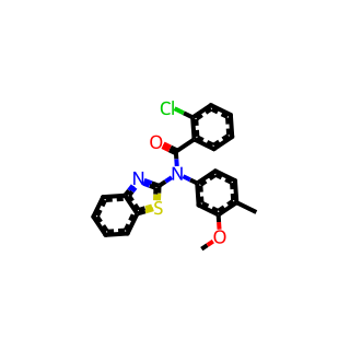 COc1cc(N(C(=O)c2ccccc2Cl)c2nc3ccccc3s2)ccc1C